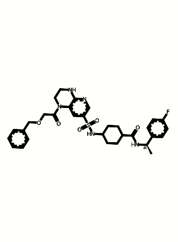 C[C@@H](NC(=O)C1CCC(NS(=O)(=O)c2cnc3c(c2)N(C(=O)COCc2ccccc2)CCN3)CC1)c1ccc(F)cc1